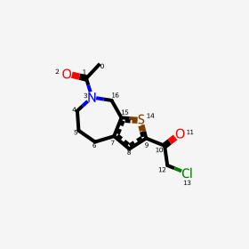 CC(=O)N1CCCc2cc(C(=O)CCl)sc2C1